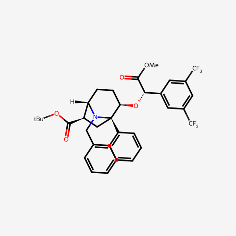 COC(=O)[C@@H](O[C@@H]1CC[C@H]2[C@H](C(=O)OC(C)(C)C)C[C@]1(c1ccccc1)N2Cc1ccccc1)c1cc(C(F)(F)F)cc(C(F)(F)F)c1